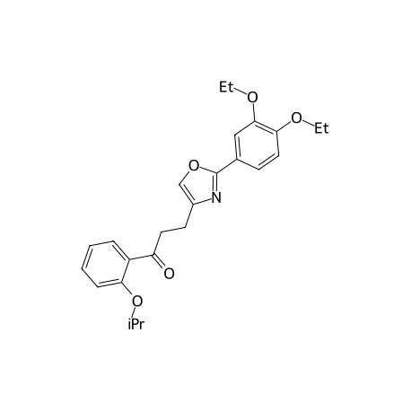 CCOc1ccc(-c2nc(CCC(=O)c3ccccc3OC(C)C)co2)cc1OCC